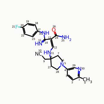 Cc1ccc(N2CCC(CC#N)(N/C=C(\C(=N)Nc3ccc(F)cc3)C(N)=O)CC2)cn1